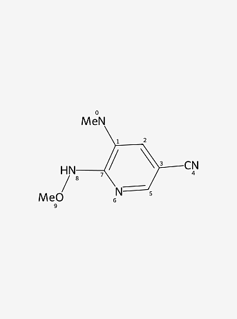 CNc1cc(C#N)cnc1NOC